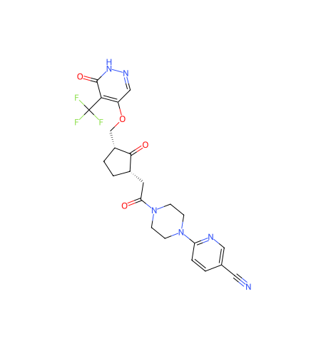 N#Cc1ccc(N2CCN(C(=O)C[C@@H]3CC[C@H](COc4cn[nH]c(=O)c4C(F)(F)F)C3=O)CC2)nc1